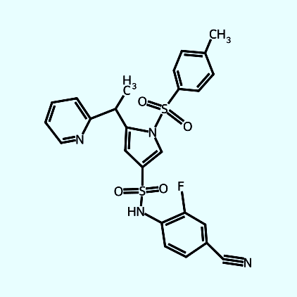 Cc1ccc(S(=O)(=O)n2cc(S(=O)(=O)Nc3ccc(C#N)cc3F)cc2C(C)c2ccccn2)cc1